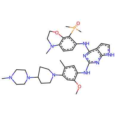 COc1cc(N2CCC(N3CCN(C)CC3)CC2)c(C)cc1Nc1nc(Nc2ccc3c(c2P(C)(C)=O)OCCN3C)c2cc[nH]c2n1